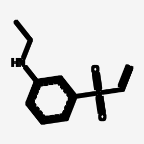 C=CS(=O)(=O)c1cccc(NCC)c1